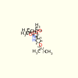 CCCC(C)COc1ccc([C@H](COC(C)=O)NC(=O)OC(C)(C)C)cc1